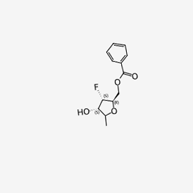 CC1O[C@H](COC(=O)c2ccccc2)[C@@H](F)[C@H]1O